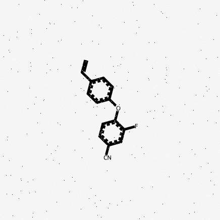 C=Cc1ccc(Oc2ccc(C#N)cc2F)cc1